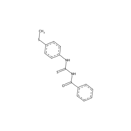 CSc1ccc(NC(=S)NC(=O)c2ccccc2)cc1